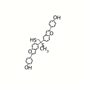 CSC(CS)(c1ccc2oc(-c3ccc(O)cc3)cc2c1)c1ccc2oc(-c3ccc(O)cc3)cc2c1